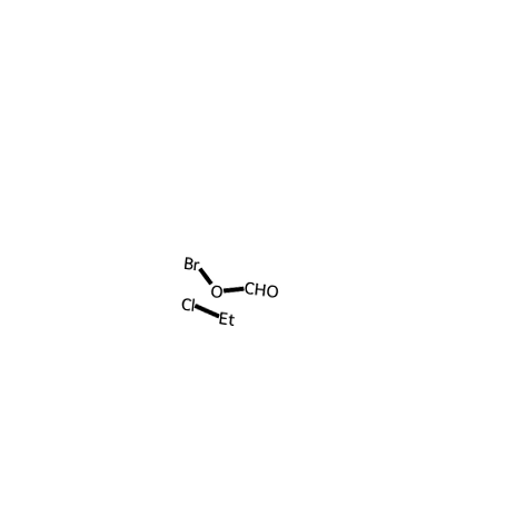 CCCl.O=COBr